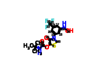 CC(C)(C)NC(=O)OC1SCN(c2cc(NO)cc(C(F)(F)F)c2)C1=O